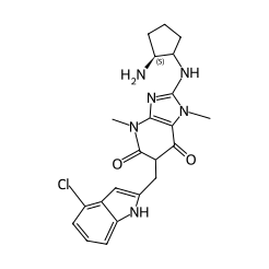 CN1C(=O)C(Cc2cc3c(Cl)cccc3[nH]2)C(=O)c2c1nc(NC1CCC[C@@H]1N)n2C